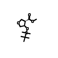 COC(=O)[C@H]1COC[C@@H]1O[Si](C)(C)C(C)(C)C